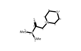 CSN(SC)C(=S)CN1CCOCC1